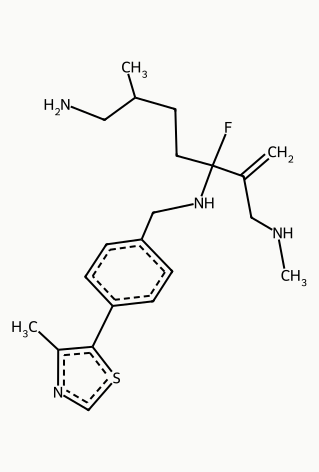 C=C(CNC)C(F)(CCC(C)CN)NCc1ccc(-c2scnc2C)cc1